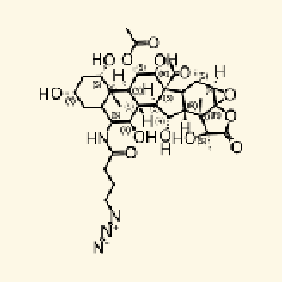 CC(=O)O[C@H]1[C@H]2[C@@H]([C@@H](O)[C@@H](NC(=O)CCCN=[N+]=[N-])C3C[C@H](O)C[C@H](O)[C@@]32C)[C@@H]2[C@@H](O)[C@@H]3C([C@H](C)[C@H]4O[C@]45OC(=O)[C@@](C)(O)[C@]35C)[C@@]2(C(C)=O)[C@H]1O